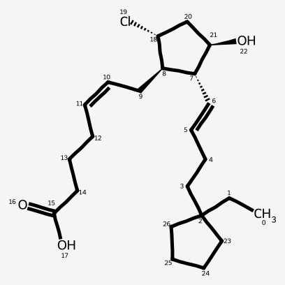 CCC1(CC/C=C/[C@@H]2[C@@H](C/C=C\CCCC(=O)O)[C@H](Cl)C[C@H]2O)CCCC1